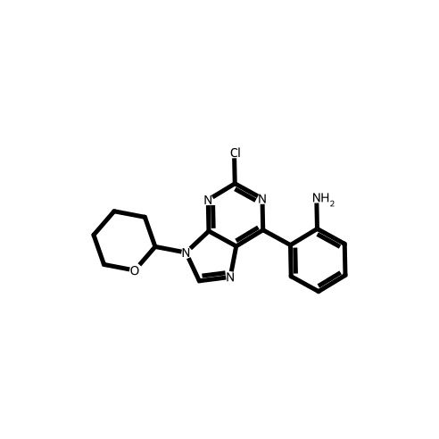 Nc1ccccc1-c1nc(Cl)nc2c1ncn2C1CCCCO1